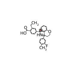 C=Cc1cc(C(=O)N[C@]2(c3ccc(C)c(F)c3)CCOc3cccnc32)ccc1C(=O)O